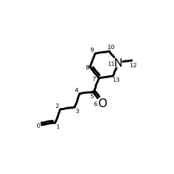 C=CCCCC(=O)C1=CCCN(C)C1